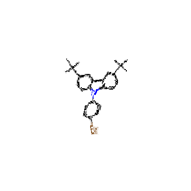 CC(C)(C)c1ccc2c(c1)c1cc(C(C)(C)C)ccc1n2-c1ccc(Br)cc1